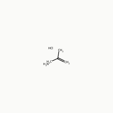 C=C(C)C.Cl.N